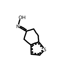 ON=C1CCc2sccc2C1